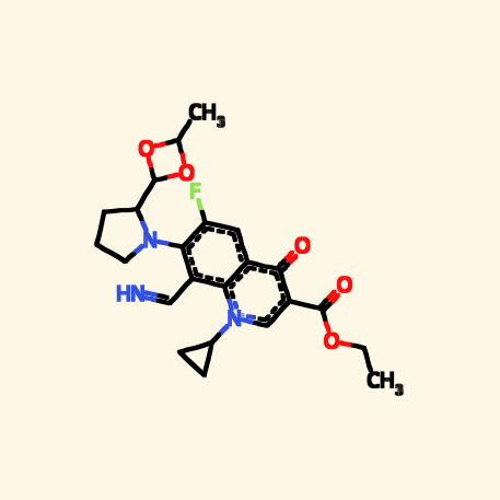 CCOC(=O)c1cn(C2CC2)c2c(C=N)c(N3CCCC3C3OC(C)O3)c(F)cc2c1=O